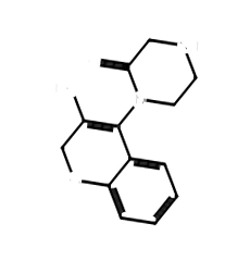 O=C1CNCCN1C1=C(O)COc2ccccc21